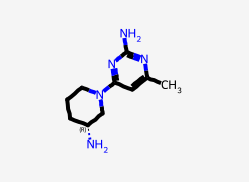 Cc1cc(N2CCC[C@@H](N)C2)nc(N)n1